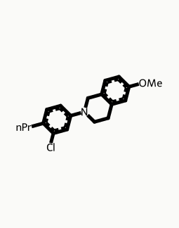 CCCc1ccc(N2CCc3cc(OC)ccc3C2)cc1Cl